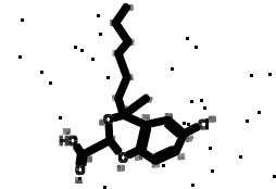 CCCCCCC1(C)OC(C(=O)O)Oc2ccc(Cl)cc21